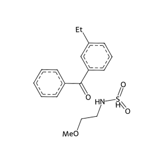 CCc1cccc(C(=O)c2ccccc2)c1.COCCN[SH](=O)=O